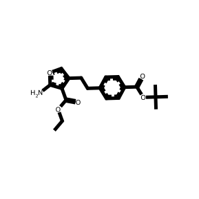 CCOC(=O)c1c(CCc2ccc(C(=O)OC(C)(C)C)cc2)coc1N